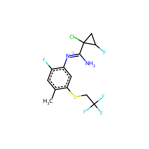 Cc1cc(F)c(/N=C(\N)C2(Cl)CC2F)cc1SCC(F)(F)F